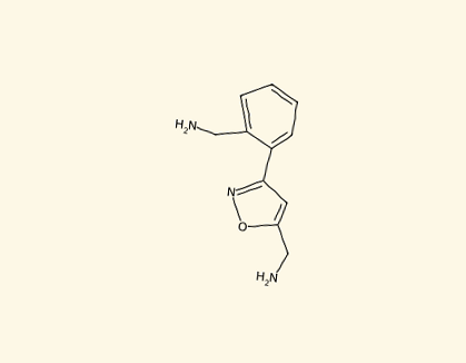 NCc1cc(-c2ccccc2CN)no1